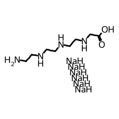 NCCNCCNCCNCC(=O)O.[NaH].[NaH].[NaH].[NaH].[NaH].[NaH]